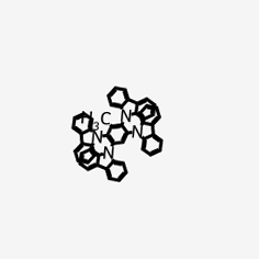 Cc1c(-n2c3ccccc3c3ccccc32)c(-n2c3ccccc3c3ccccc32)cc(-n2c3ccccc3c3ccccc32)c1-n1c2ccccc2c2ccccc21